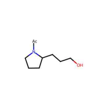 CC(=O)N1CCCC1CCCO